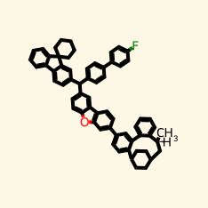 C[C@H]1CC2CCC(CC2)c2ccc(-c3ccc4c(c3)oc3ccc(C(c5ccc(-c6ccc(F)cc6)cc5)c5ccc6c(c5)C5(CCCCC5)c5ccccc5-6)cc34)cc2-c2ccccc21